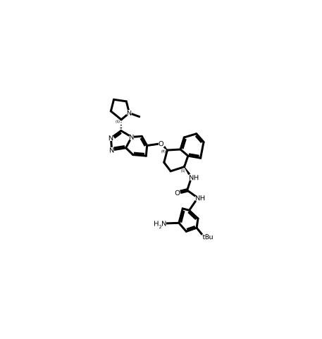 CN1CCC[C@H]1c1nnc2ccc(O[C@@H]3CC[C@H](NC(=O)Nc4cc(N)cc(C(C)(C)C)c4)c4ccccc43)cn12